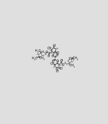 CCCC(C)(CC)CCOC(=O)c1c(Cl)c(Cl)cc(Cl)c1OC(=O)C(=O)Oc1c(Cl)cc(Cl)c(Cl)c1C(=O)OCCC(C)(CC)CCC